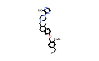 COc1cc(CC(C)C)ccc1COc1ccc2c(c1)CCC(CN1CCN(c3nccnc3C#N)CC1)=C2C